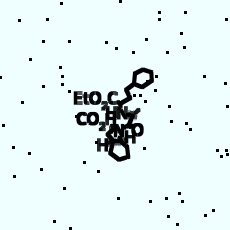 CCOC(=O)C(CCC1CCCCC1)N[C@@H](C)C(=O)N1[C@H](C(=O)O)C[C@H]2CCCC[C@@H]21